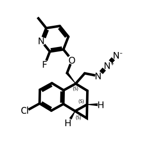 Cc1ccc(OC[C@@]2(CN=[N+]=[N-])C[C@@H]3C[C@@H]3c3cc(Cl)ccc32)c(F)n1